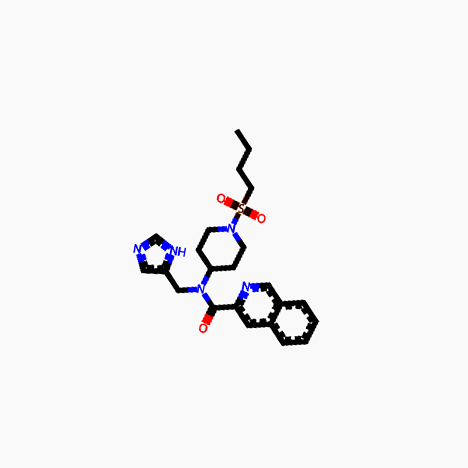 CCCCS(=O)(=O)N1CCC(N(Cc2cnc[nH]2)C(=O)c2cc3ccccc3cn2)CC1